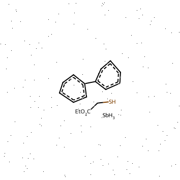 CCOC(=O)CS.[SbH3].c1ccc(-c2ccccc2)cc1